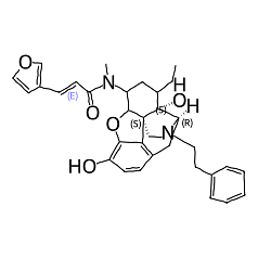 CCC1CC(N(C)C(=O)/C=C/c2ccoc2)C2Oc3c(O)ccc4c3[C@@]23CCN(CCc2ccccc2)[C@H](C4)[C@]13O